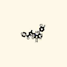 Cc1cc(C(=O)N2CCOCC2)[nH]c1/C=C1\C(=O)Nc2ncnc(Nc3ccc(F)c(Cl)c3)c21